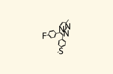 CSc1ccc(-c2nc3nc(C)ccn3c2-c2ccc(F)cc2)cc1